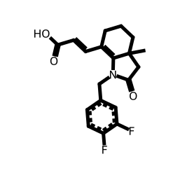 CC12CCCC(C=CC(=O)O)=C1N(Cc1ccc(F)c(F)c1)C(=O)C2